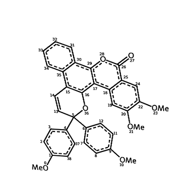 COc1ccc(C2(c3ccc(OC)cc3)C=Cc3c(c4c5cc(OC)c(OC)cc5c(=O)oc4c4ccccc34)O2)cc1